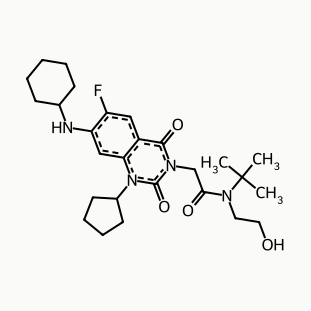 CC(C)(C)N(CCO)C(=O)Cn1c(=O)c2cc(F)c(NC3CCCCC3)cc2n(C2CCCC2)c1=O